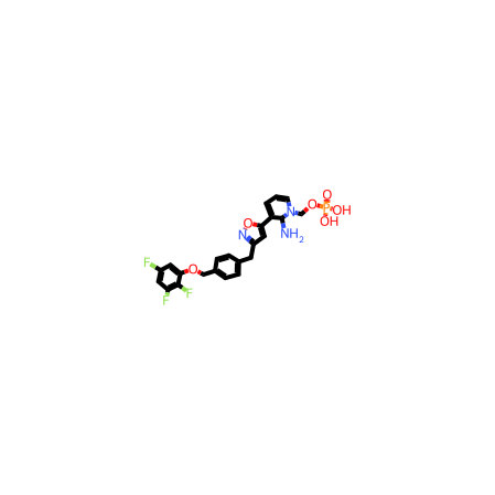 NC1C(c2cc(Cc3ccc(COc4cc(F)cc(F)c4F)cc3)no2)=CC=CN1COP(=O)(O)O